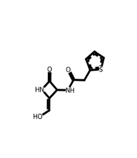 O=C(Cc1cccs1)NC1C(=O)NC1=CO